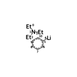 CCN(CC)CC.[Li][c]1ccccc1